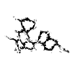 N#Cc1ccc2c(c1)ncn2-c1ncc2[nH]c(=O)n(Cc3c(F)cccc3F)c2n1